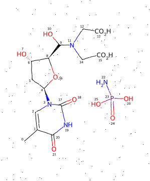 Cc1cn([C@H]2C[C@H](O)[C@@H](C(O)N(CC(=O)O)CC(=O)O)O2)c(=O)[nH]c1=O.NP(=O)(O)O